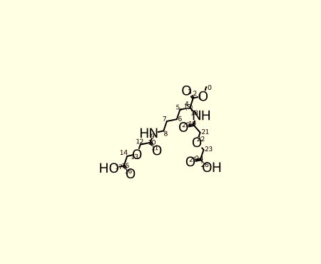 COC(=O)[C@H](CCCCNC(=O)COCC(=O)O)NC(=O)COCC(=O)O